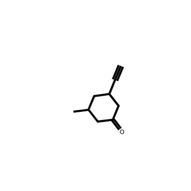 C#CC1CC(=O)CC(C)C1